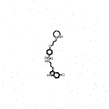 O=S(=O)(NCCCc1c[nH]c2ccc(Cl)cc12)c1ccc(OCCCN2CCCCCN2)cc1